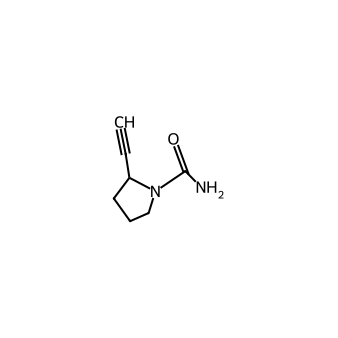 C#CC1CCCN1C(N)=O